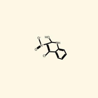 O=[N+]([O-])C1=C(Cl)c2ccccc2NC1O